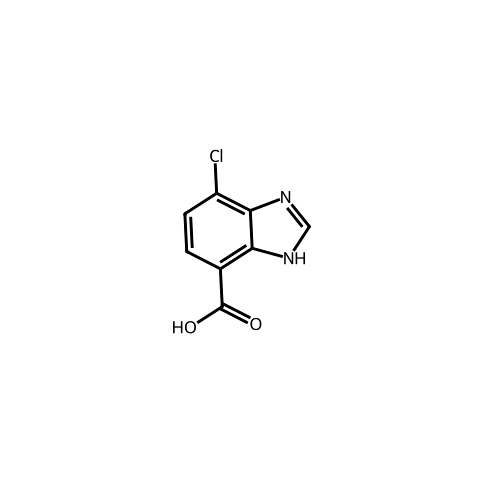 O=C(O)c1ccc(Cl)c2nc[nH]c12